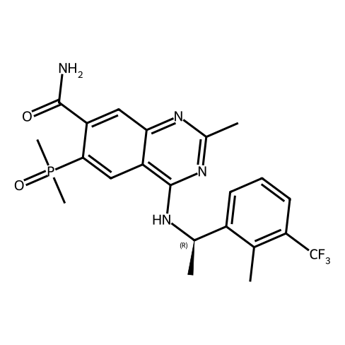 Cc1nc(N[C@H](C)c2cccc(C(F)(F)F)c2C)c2cc(P(C)(C)=O)c(C(N)=O)cc2n1